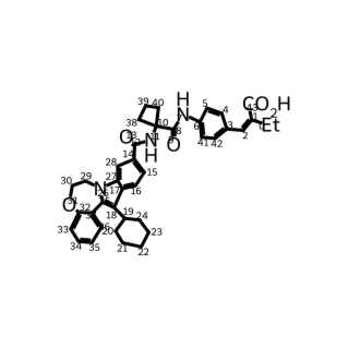 CCC(=Cc1ccc(NC(=O)C2(NC(=O)c3ccc4c(C5CCCCC5)c5n(c4c3)CCOc3ccccc3-5)CCC2)cc1)C(=O)O